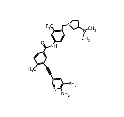 Cc1ccc(C(=O)Nc2ccc(CN3CCC(N(C)C)C3)c(C(F)(F)F)c2)cc1C#Cc1cnc(N)c(P)c1